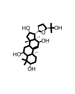 CC(C)(O)[C@@H]1CC[C@H]([C@H]2[C@@H](O)C[C@@]3(C)C4C[C@H](O)C5C(C)(C)[C@@H](O)CC[C@]5(C)C4=C[C@H](O)[C@]23C)O1